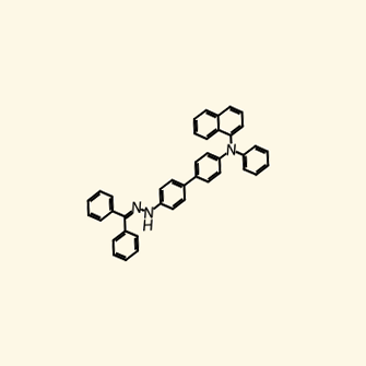 c1ccc(C(=NNc2ccc(-c3ccc(N(c4ccccc4)c4cccc5ccccc45)cc3)cc2)c2ccccc2)cc1